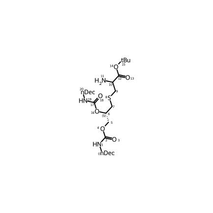 CCCCCCCCCCNC(=O)OC[C@@H](CSCC(N)C(=O)OC(C)(C)C)OC(=O)NCCCCCCCCCC